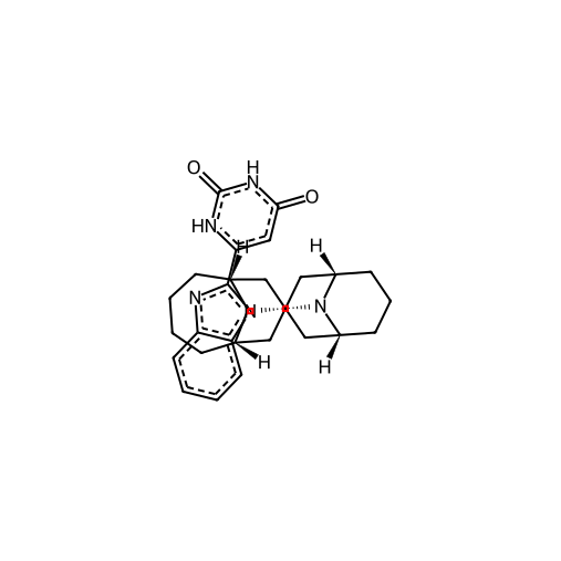 O=c1cc(-c2nc3ccccc3n2[C@H]2C[C@H]3CCC[C@@H](C2)N3[C@@H]2C[C@@H]3CCCC[C@@H](C3)C2)[nH]c(=O)[nH]1